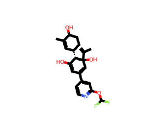 C=C(C)C1(O)C=C(c2ccnc(OC(F)F)c2)C=C(O)[C@@H]1C1C=C(C)C(O)CC1